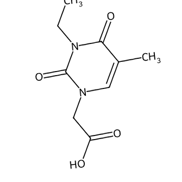 CCn1c(=O)c(C)cn(CC(=O)O)c1=O